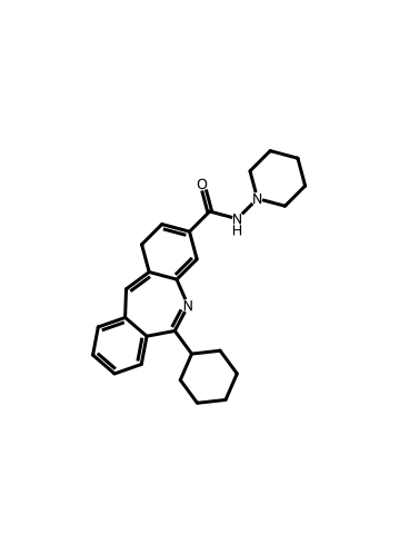 O=C(NN1CCCCC1)C1=CCC2=Cc3ccccc3C(C3CCCCC3)=NC2=C1